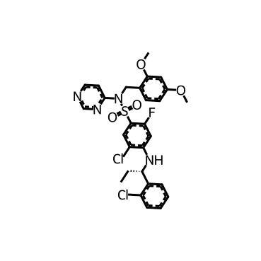 CC[C@H](Nc1cc(F)c(S(=O)(=O)N(Cc2ccc(OC)cc2OC)c2ccncn2)cc1Cl)c1ccccc1Cl